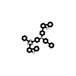 c1ccc(-c2ccc(N(c3ccc(-c4nc(-c5ccccc5)nc(-c5cccc6oc7ccccc7c56)n4)cc3)c3ccc(-c4cccc5c4oc4ccccc45)cc3)cc2)cc1